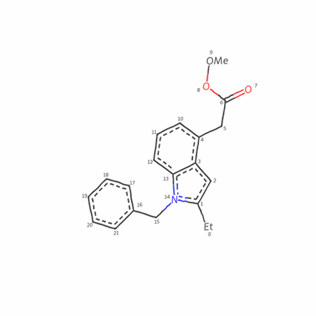 CCc1cc2c(CC(=O)OOC)cccc2n1Cc1ccccc1